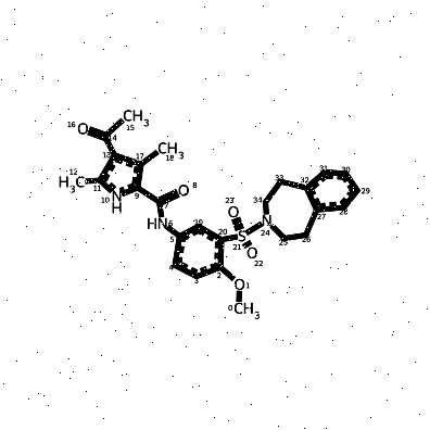 COc1ccc(NC(=O)c2[nH]c(C)c(C(C)=O)c2C)cc1S(=O)(=O)N1CCc2ccccc2CC1